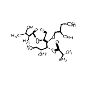 C[C@H](N)C(=O)O[C@@H]([C@H](OCC(O)CO)[C@H](C=O)OC(=O)[C@@H](N)[C@@H](C)O)[C@H](O)CO